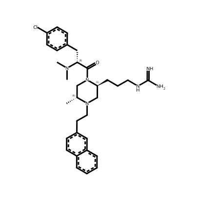 C[C@@H]1CN(C(=O)[C@@H](Cc2ccc(Cl)cc2)N(C)C)[C@@H](CCCNC(=N)N)CN1CCc1ccc2ccccc2c1